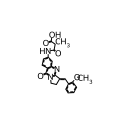 COc1ccccc1/C=C1\CCn2c1nc1cc(NC(=O)C(C)C(=O)O)ccc1c2=O